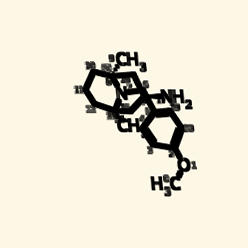 COc1ccc(CN2[C@@]3(C)CCC[C@]2(C)C[C@H](N)C3)cc1